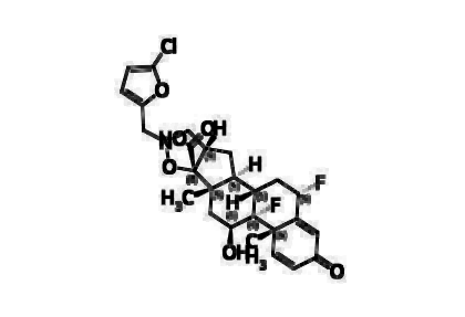 C[C@]12C=CC(=O)C=C1[C@@H](F)C[C@H]1[C@@H]3C[C@H]4CN(Cc5ccc(Cl)o5)O[C@@]4(C(=O)O)[C@@]3(C)C[C@H](O)[C@@]12F